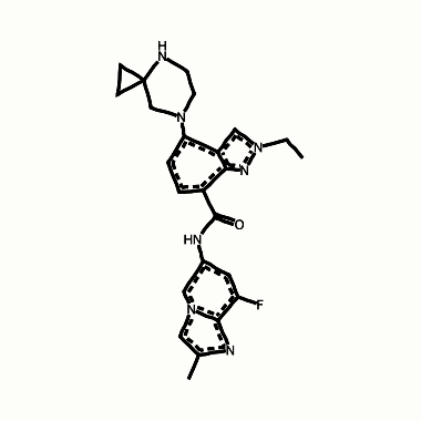 CCn1cc2c(N3CCNC4(CC4)C3)ccc(C(=O)Nc3cc(F)c4nc(C)cn4c3)c2n1